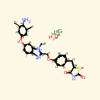 Cc1cc(Oc2ccc3nc(COc4ccc(CC5SC(=O)NC5=O)cc4)n(C)c3c2)cc(C)c1N.Cl.Cl.O